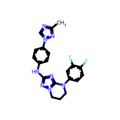 Cc1ncn(-c2ccc(Nc3nc4n(n3)CCCN4c3ccc(F)c(F)c3)cc2)n1